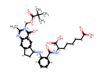 Cc1nc2cc3c(cc2c(=O)n1COC(=O)C(C)(C)C)C(Nc1ccccc1C(=O)NC(CCCCCC(=O)O)C(=O)O)CC3